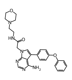 Nc1ncnc2c1c(-c1ccc(Oc3ccccc3)cc1)cn2CC(=O)NCCN1CCOCC1